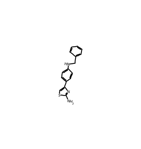 Nc1nc(-c2ccc(NCc3ccccc3)cc2)cs1